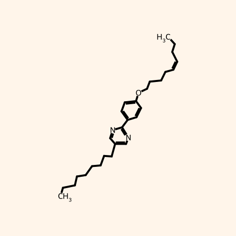 CCC/C=C\CCCCOc1ccc(-c2ncc(CCCCCCCCC)cn2)cc1